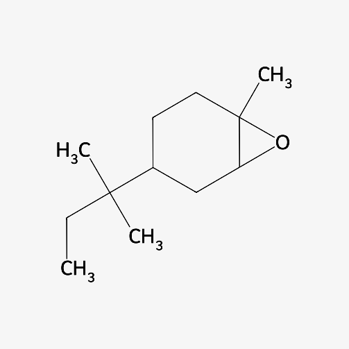 CCC(C)(C)C1CCC2(C)OC2C1